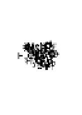 COc1ccc(F)cc1[C@H](Cn1c(=O)n(C(C)(C)C(=O)NC(C)C)c(=O)c2c(C)c(-n3nccn3)sc21)OC1CCOCC1